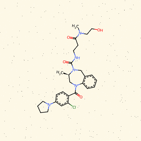 C[C@@H]1CN(C(=O)c2ccc(N3CCCC3)cc2Cl)c2ccccc2CN1C(=O)NCCC(=O)N(C)CCO